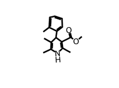 COC(=O)C1=C(C)NC(C)=C(C)C1c1ccccc1C